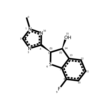 Cn1cnc([C@@H]2Sc3c(F)cccc3[C@@H]2O)n1